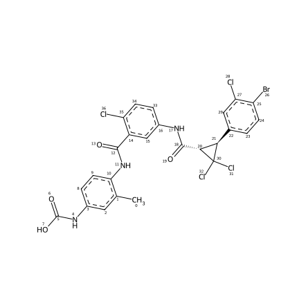 Cc1cc(NC(=O)O)ccc1NC(=O)c1cc(NC(=O)[C@@H]2[C@@H](c3ccc(Br)c(Cl)c3)C2(Cl)Cl)ccc1Cl